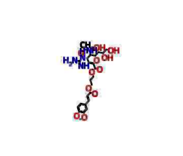 CC(=O)N[C@H]1[C@H]([C@H](O)[C@H](O)CO)OC(C(=O)OCCCOC(=O)/C=C/c2ccc3c(c2)OCO3)=C[C@@H]1NC(=N)N